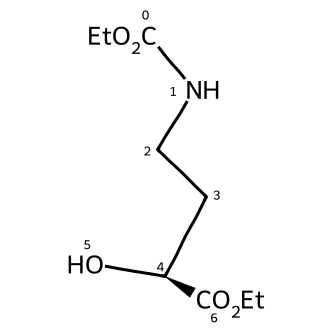 CCOC(=O)NCC[C@H](O)C(=O)OCC